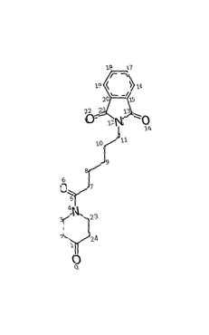 O=C1CCN(C(=O)CCCCCN2C(=O)c3ccccc3C2=O)CC1